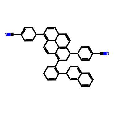 N#CC1=CCC(C2=C3C=CC4=C(C5=C(C6C=c7ccccc7=CC6)C=CCC5)CC(C5C=CC(C#N)=CC5)C5=C4C3C(C=C2)C=C5)C=C1